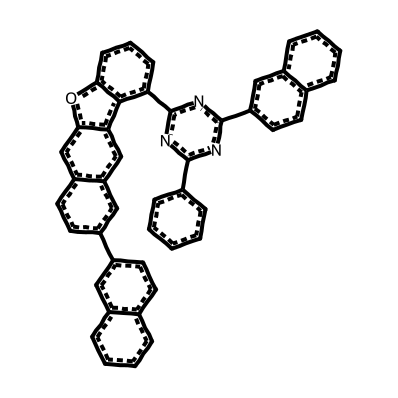 c1ccc(-c2nc(-c3ccc4ccccc4c3)nc(-c3cccc4oc5cc6ccc(-c7ccc8ccccc8c7)cc6cc5c34)n2)cc1